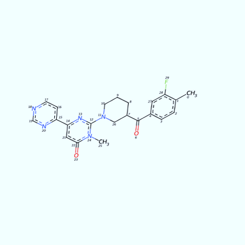 Cc1ccc(C(=O)C2CCCN(c3nc(-c4ccncn4)cc(=O)n3C)C2)cc1F